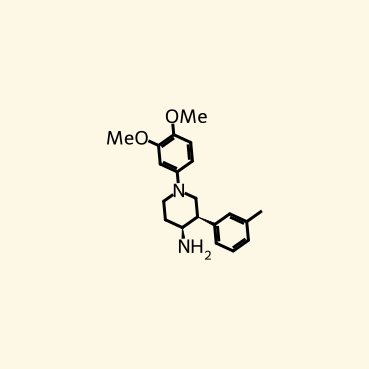 COc1ccc(N2CC[C@H](N)[C@H](c3cccc(C)c3)C2)cc1OC